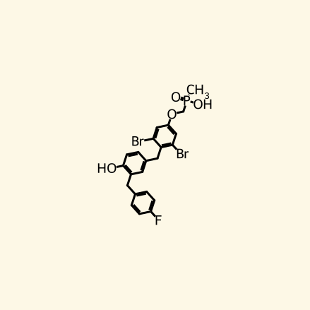 CP(=O)(O)COc1cc(Br)c(Cc2ccc(O)c(Cc3ccc(F)cc3)c2)c(Br)c1